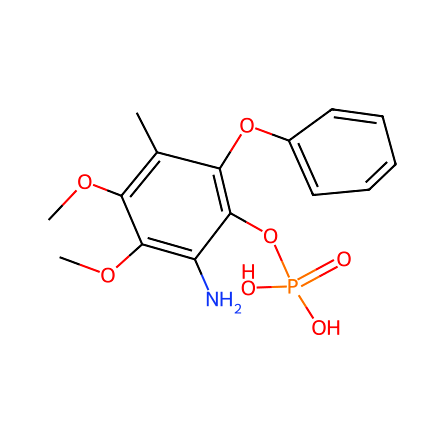 COc1c(C)c(Oc2ccccc2)c(OP(=O)(O)O)c(N)c1OC